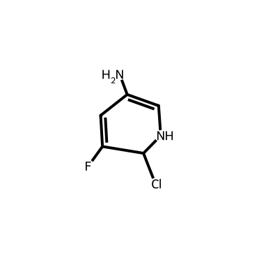 NC1=CNC(Cl)C(F)=C1